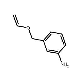 C=COCc1cccc(N)c1